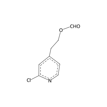 O=COCCc1ccnc(Cl)c1